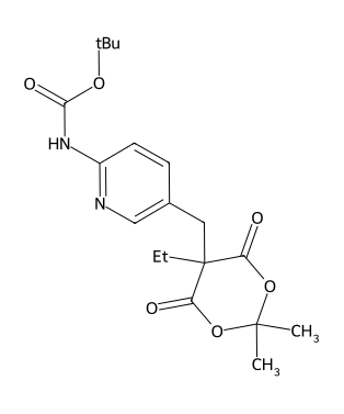 CCC1(Cc2ccc(NC(=O)OC(C)(C)C)nc2)C(=O)OC(C)(C)OC1=O